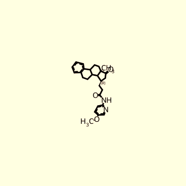 COc1ccc(NC(=O)CC[C@@H]2CC(=O)[C@@]3(C)CCC4c5ccccc5CCC4C23)nc1